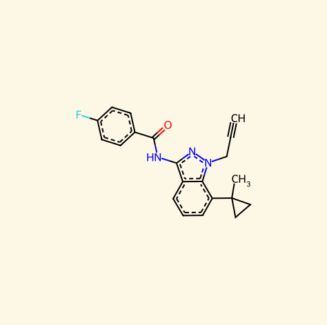 C#CCn1nc(NC(=O)c2ccc(F)cc2)c2cccc(C3(C)CC3)c21